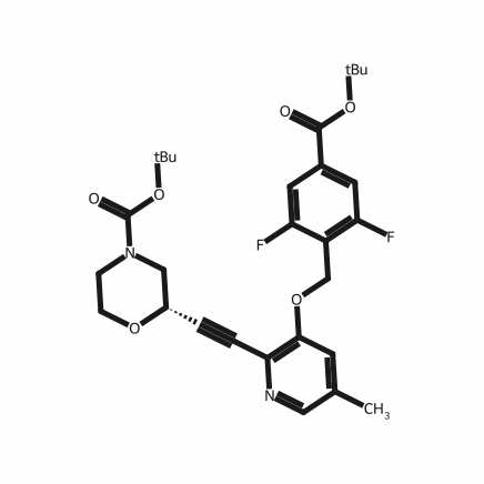 Cc1cnc(C#C[C@H]2CN(C(=O)OC(C)(C)C)CCO2)c(OCc2c(F)cc(C(=O)OC(C)(C)C)cc2F)c1